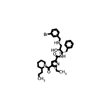 CCCC1CCCCN1C(=O)c1cc(C(=O)N[C@@H](Cc2ccccc2)[C@@H](O)CNCc2cccc(Br)c2)nn1CC